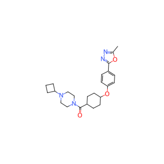 Cc1nnc(-c2ccc(OC3CCC(C(=O)N4CCN(C5CCC5)CC4)CC3)cc2)o1